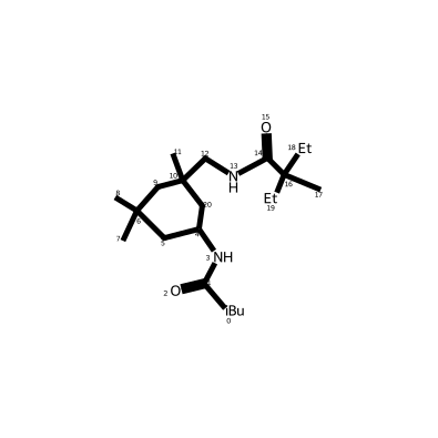 CCC(C)C(=O)NC1CC(C)(C)CC(C)(CNC(=O)C(C)(CC)CC)C1